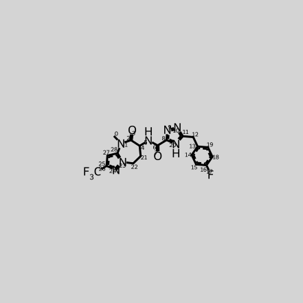 CN1C(=O)C(NC(=O)c2nnc(Cc3ccc(F)cc3)[nH]2)CCn2nc(C(F)(F)F)cc21